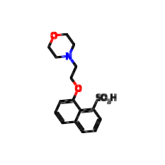 O=S(=O)(O)c1cccc2cccc(OCCN3CCOCC3)c12